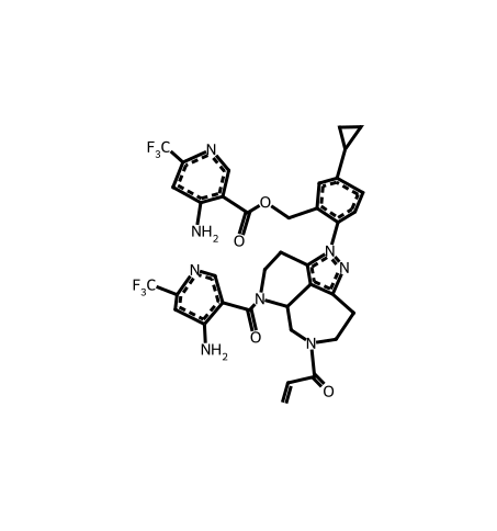 C=CC(=O)N1CCc2nn(-c3ccc(C4CC4)cc3COC(=O)c3cnc(C(F)(F)F)cc3N)c3c2C(C1)N(C(=O)c1cnc(C(F)(F)F)cc1N)CC3